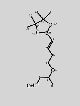 CC(CC=O)OCC/C=C/B1OC(C)(C)C(C)(C)O1